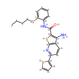 CCCCSc1ccccc1NC(=O)c1sc2nc(-c3cccs3)ccc2c1N